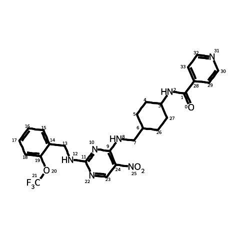 O=C(NC1CCC(CNc2nc(NCc3ccccc3OC(F)(F)F)ncc2[N+](=O)[O-])CC1)c1ccncc1